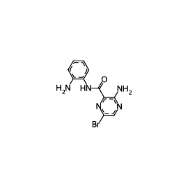 Nc1ccccc1NC(=O)c1nc(Br)cnc1N